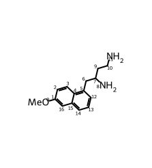 COc1ccc2c(CC(N)CCN)cccc2c1